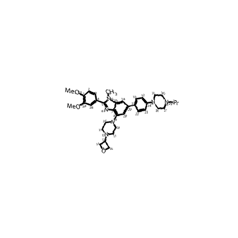 COc1ccc(-c2nc3c(N4CCN(C5COC5)CC4)cc(-c4ccc(N5CCN(C(C)C)CC5)cc4)cc3n2C)cc1OC